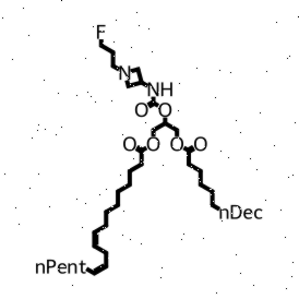 CCCCC/C=C\C/C=C\CCCCCCCC(=O)OCC(COC(=O)CCCCCCCCCCCCCCC)OC(=O)NC1CN(CCCF)C1